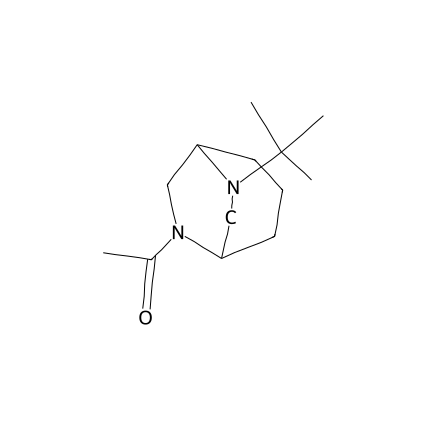 CC(=O)N1CC2CCCC1CN2C(C)(C)C